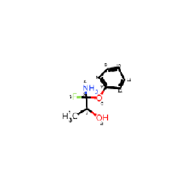 CC(O)C(N)(F)Oc1ccccc1